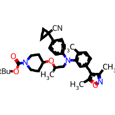 Cc1ccc(-c2c(C)noc2C)cc1N(CC(C)OC1CCN(C(=O)OC(C)(C)C)CC1)c1ccc(C2(C#N)CC2)cc1